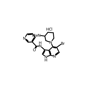 CNC1CCCN(c2c(Br)cnc3[nH]cc(NC(=O)c4cccnc4)c23)C1.Cl